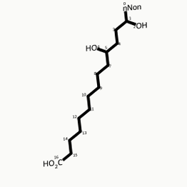 CCCCCCCCCC(O)CCC(O)CCCCCCCCCC(=O)O